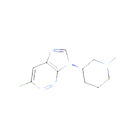 CN1CCC[C@@H](n2cnc3cc(Cl)nnc32)C1